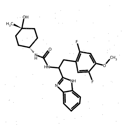 COc1cc(F)c(CC(NC(=O)N[C@H]2CC[C@@](C)(O)CC2)c2nc3ccccc3[nH]2)cc1F